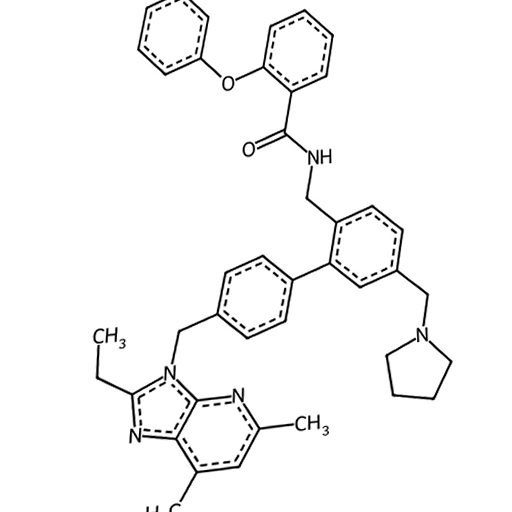 CCc1nc2c(C)cc(C)nc2n1Cc1ccc(-c2cc(CN3CCCC3)ccc2CNC(=O)c2ccccc2Oc2ccccc2)cc1